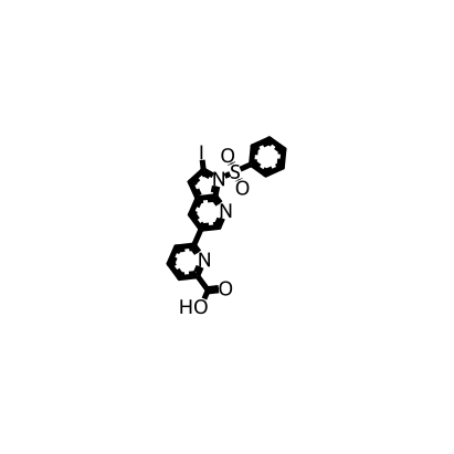 O=C(O)c1cccc(-c2cnc3c(c2)cc(I)n3S(=O)(=O)c2ccccc2)n1